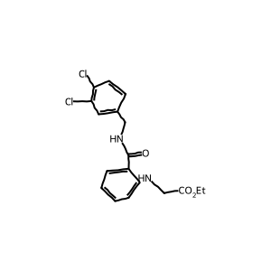 CCOC(=O)CNc1ccccc1C(=O)NCc1ccc(Cl)c(Cl)c1